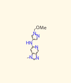 COCn1cc(Nc2cc3c(cn2)ncn3C)cn1